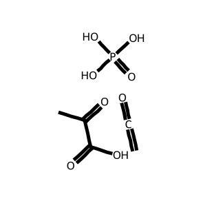 C=C=O.CC(=O)C(=O)O.O=P(O)(O)O